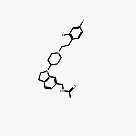 CC(=O)NCc1ccc2c(c1)N(C1CCN(CCc3ccc(F)cc3F)CC1)CC2